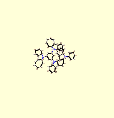 C1=Cc2c(n(-c3cc(-n4c5c(c6ccccc64)CCCC=C5)cc(-n4c5ccccc5c5ccc6c(c7ccccc7n6-c6ccccc6)c54)c3)c3ccccc23)C=CC1